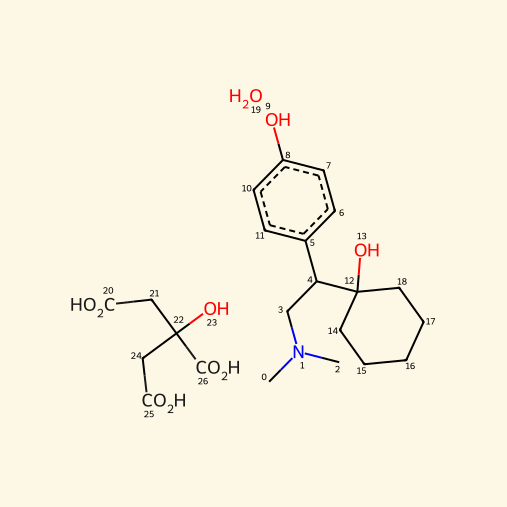 CN(C)CC(c1ccc(O)cc1)C1(O)CCCCC1.O.O=C(O)CC(O)(CC(=O)O)C(=O)O